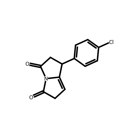 O=C1CC=C2C(c3ccc(Cl)cc3)CC(=O)N12